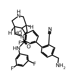 N#Cc1cc(CN)ccc1-c1ccc([C@]2(O)[C@@H]3CNC[C@H]2CN(C(=O)Nc2cc(F)cc(F)c2)C3)c(F)c1